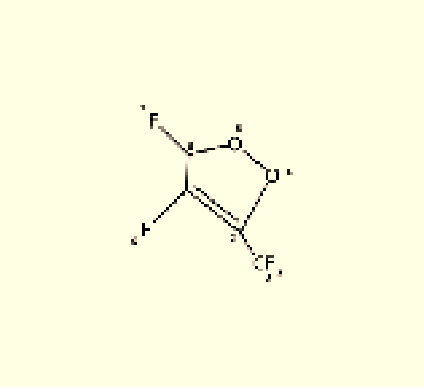 FC1=C(C(F)(F)F)OOC1F